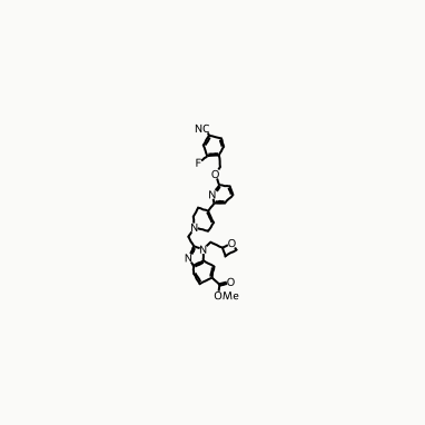 COC(=O)c1ccc2nc(CN3CC=C(c4cccc(OCc5ccc(C#N)cc5F)n4)CC3)n(CC3CCO3)c2c1